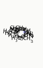 CC[C@H]1OC(=O)[C@H](C)C(=O)C(C)[C@@H](O[C@@H]2O[C@H](C)C[C@H](N(C)C)C2C)[C@](C)(OC)C[C@@H](C)C(=O)/C(C)=C/[C@]1(C)OC(=O)n1ccnc1